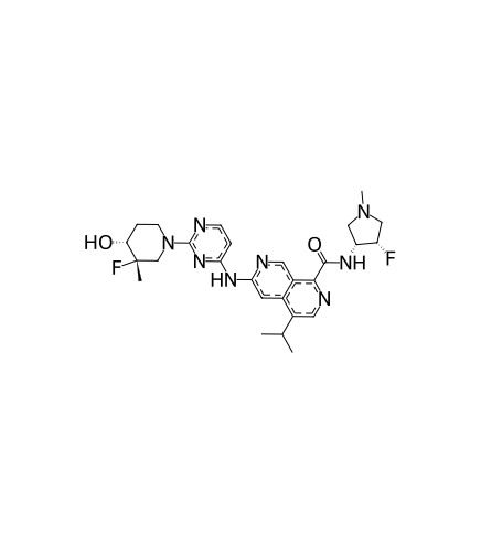 CC(C)c1cnc(C(=O)N[C@@H]2CN(C)C[C@@H]2F)c2cnc(Nc3ccnc(N4CC[C@@H](O)[C@@](C)(F)C4)n3)cc12